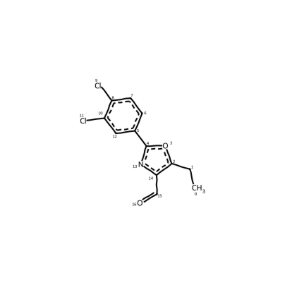 CCc1oc(-c2ccc(Cl)c(Cl)c2)nc1C=O